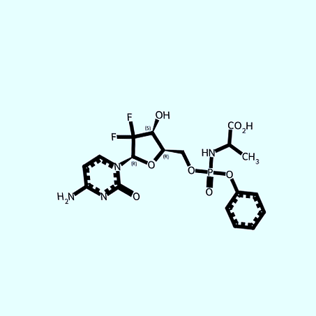 CC(NP(=O)(OC[C@H]1O[C@@H](n2ccc(N)nc2=O)C(F)(F)[C@H]1O)Oc1ccccc1)C(=O)O